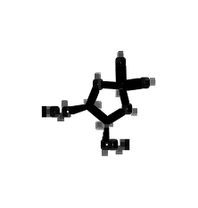 O=C(O)[C@H]1OS(=O)(=O)O[C@@H]1C(=O)O